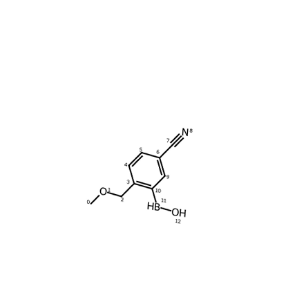 COCc1ccc(C#N)cc1BO